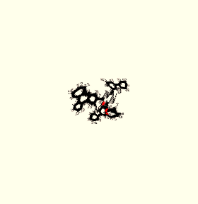 c1ccc(-c2nc(-c3cc4c5ccccc5c5ccccc5c4cc3-n3c4ccccc4c4ccccc43)nc(-c3cccc4c3oc3ccccc34)n2)cc1